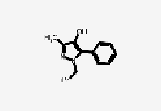 Cc1nn(CC(C)C)c(-c2ccccc2)c1O